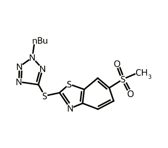 CCCCn1nnc(Sc2nc3ccc(S(C)(=O)=O)cc3s2)n1